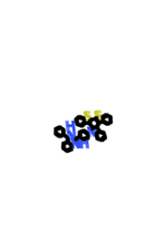 C1=CC2=C(c3ccccc3)NC(c3ccc(-n4c5ccccc5c5c6c7ccccc7sc6c6sc7ccccc7c6c54)cc3)NC2C=C1